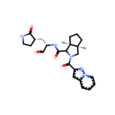 O=C[C@H](C[C@@H]1CCNC1=O)NC(=O)C1[C@H]2CCC[C@H]2CN1C(=O)c1cc2ccccn2n1